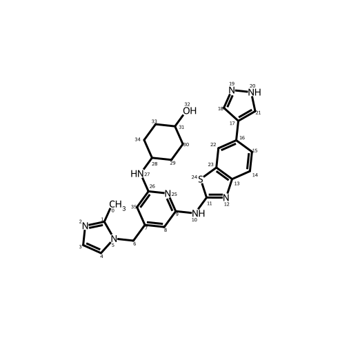 Cc1nccn1Cc1cc(Nc2nc3ccc(-c4cn[nH]c4)cc3s2)nc(NC2CCC(O)CC2)c1